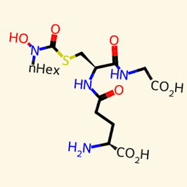 CCCCCCN(O)C(=O)SC[C@H](NC(=O)CC[C@H](N)C(=O)O)C(=O)NCC(=O)O